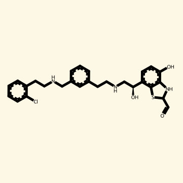 O=CC1Nc2c(O)ccc([C@@H](O)CNCCc3cccc(CNCCc4ccccc4Cl)c3)c2S1